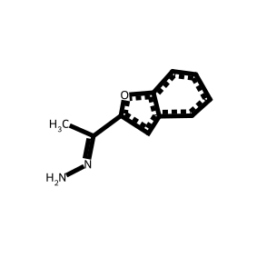 CC(=NN)c1cc2ccccc2o1